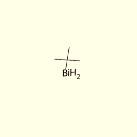 C[C](C)(C)[BiH2]